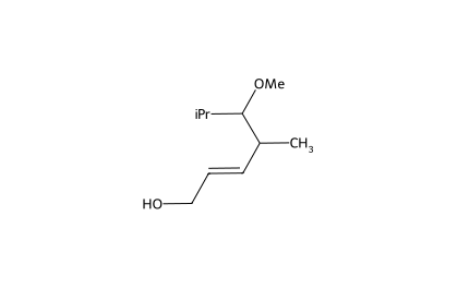 COC(C(C)C)C(C)/C=C/CO